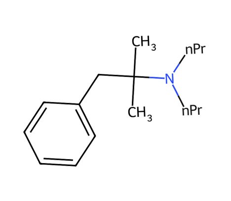 CCCN(CCC)C(C)(C)Cc1ccccc1